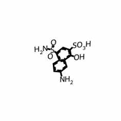 Nc1ccc2c(S(N)(=O)=O)cc(S(=O)(=O)O)c(O)c2c1